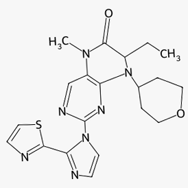 CCC1C(=O)N(C)c2cnc(-n3ccnc3-c3nccs3)nc2N1C1CCOCC1